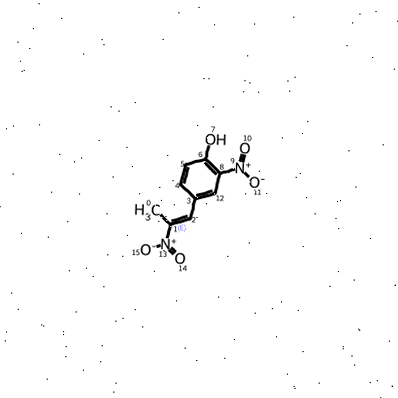 C/C(=C\c1ccc(O)c([N+](=O)[O-])c1)[N+](=O)[O-]